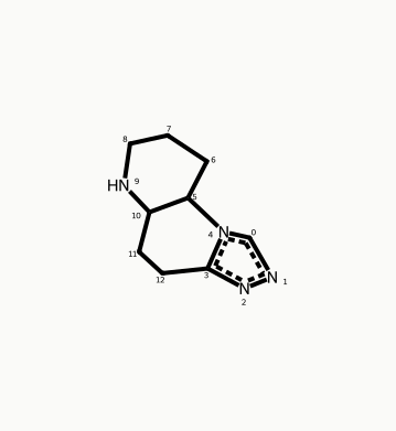 c1nnc2n1C1CCCNC1CC2